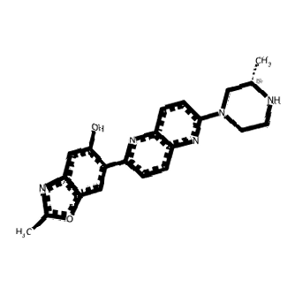 Cc1nc2cc(O)c(-c3ccc4nc(N5CCN[C@@H](C)C5)ccc4n3)cc2o1